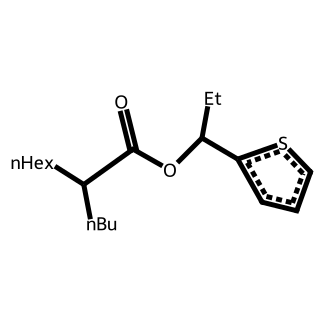 CCCCCCC(CCCC)C(=O)OC(CC)c1cccs1